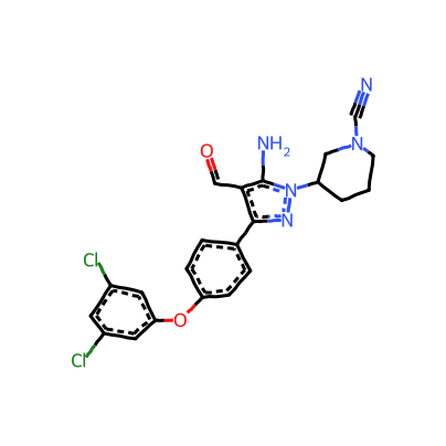 N#CN1CCCC(n2nc(-c3ccc(Oc4cc(Cl)cc(Cl)c4)cc3)c(C=O)c2N)C1